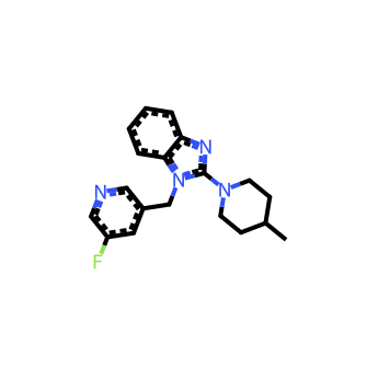 CC1CCN(c2nc3ccccc3n2Cc2cncc(F)c2)CC1